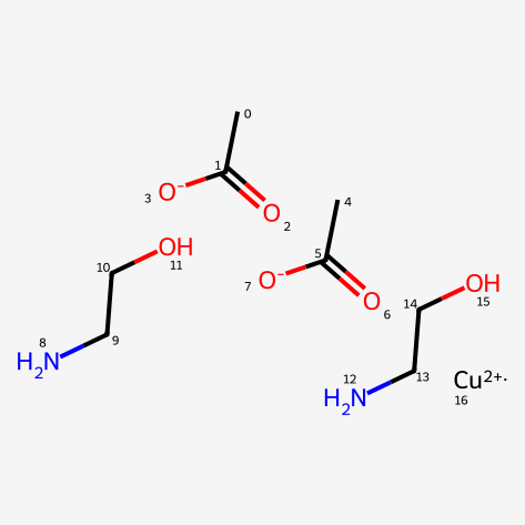 CC(=O)[O-].CC(=O)[O-].NCCO.NCCO.[Cu+2]